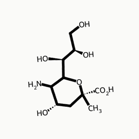 C[C@@]1(C(=O)O)C[C@H](O)C(N)C([C@@H](O)[C@H](O)CO)O1